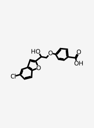 O=C(O)c1ccc(OCC(O)c2cc3cc(Cl)ccc3o2)cc1